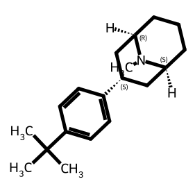 CN1[C@@H]2CCC[C@H]1C[C@H](c1ccc(C(C)(C)C)cc1)C2